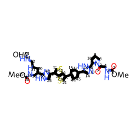 COC(=O)NCC(=O)N1CC=CC1c1ncc(-c2ccc(-c3csc4c(-c5c[nH]c(C(CCCNC=O)CNC(=O)OC)n5)csc34)cc2)[nH]1